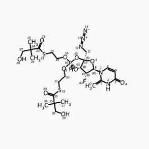 C=C1NC(=O)C=CN1[C@@H]1O[C@](CN=[N+]=[N-])(OP(=O)(OCCSC(=O)C(C)(C)CO)OCCSC(=O)C(C)(C)CO)[C@@H](O)[C@H]1F